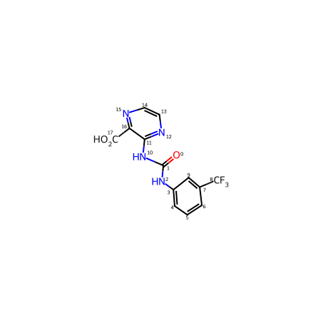 O=C(Nc1cccc(C(F)(F)F)c1)Nc1nccnc1C(=O)O